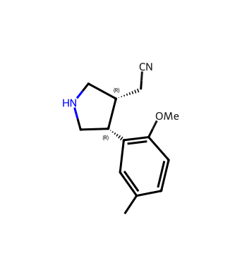 COc1ccc(C)cc1[C@@H]1CNC[C@@H]1CC#N